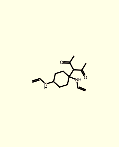 C=CNC1CCC(NC=C)(C(C(C)=O)C(C)=O)CC1